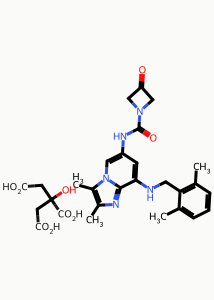 Cc1cccc(C)c1CNc1cc(NC(=O)N2CC(=O)C2)cn2c(C)c(C)nc12.O=C(O)CC(O)(CC(=O)O)C(=O)O